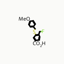 COc1ccc(CSc2cc(C(=O)O)ccc2CF)cc1